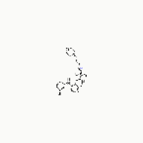 O=S(=O)(/C=C/CCCN1CCOCC1)c1cc2c(Nc3cccc(Br)c3)ncnc2cn1